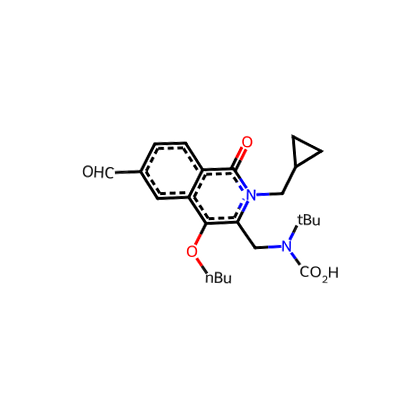 CCCCOc1c(CN(C(=O)O)C(C)(C)C)n(CC2CC2)c(=O)c2ccc(C=O)cc12